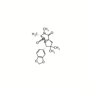 CN1C(=O)[C@]23CC(C)(C)[C@H](c4ccc5c(c4)OCO5)N2C(=O)[C@@]1(C)SS3